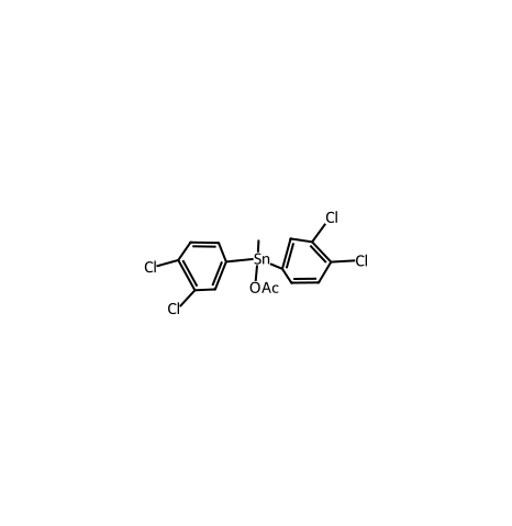 CC(=O)[O][Sn]([CH3])([c]1ccc(Cl)c(Cl)c1)[c]1ccc(Cl)c(Cl)c1